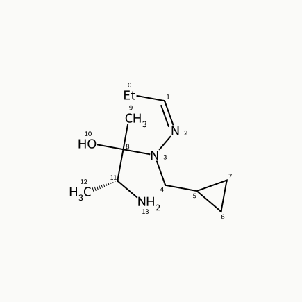 CC/C=N\N(CC1CC1)C(C)(O)[C@@H](C)N